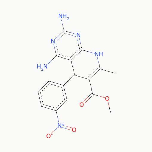 COC(=O)C1=C(C)Nc2nc(N)nc(N)c2C1c1cccc([N+](=O)[O-])c1